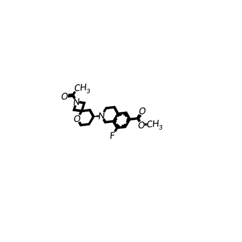 COC(=O)c1cc(F)c2c(c1)CCN([C@H]1CCOC3(C1)CN(C(C)=O)C3)C2